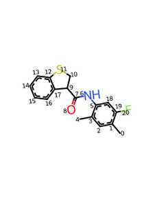 Cc1cc(C)c(NC(=O)C2CSc3ccccc32)cc1F